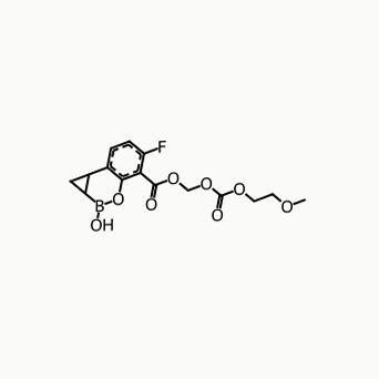 COCCOC(=O)OCOC(=O)c1c(F)ccc2c1OB(O)C1CC21